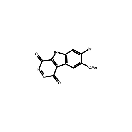 COc1cc2c3c([nH]c2cc1Br)C(=O)N=NC3=O